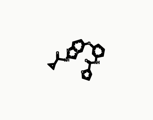 O=C(Nc1cccc(Oc2ccc3nc(NC(=O)C4CC4)cn3c2)c1)c1ccco1